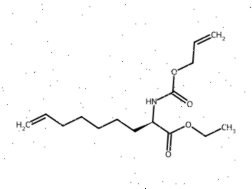 C=CCCCCC[C@@H](NC(=O)OCC=C)C(=O)OCC